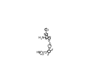 Nc1nc2c(ncn2CCN2CCN(c3cc(OCC4CNCCO4)c(F)cc3F)CC2)c2cc(-c3ccco3)nn12